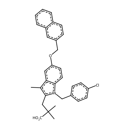 Cc1c(CC(C)(C)C(=O)O)n(Cc2ccc(Cl)cc2)c2ccc(OCc3ccc4ccccc4c3)cc12